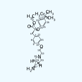 CCOC(=O)[C@H](Cc1ccc(OCCN2C[C@@H]3[C@@H](N)[C@@H]3C2)cc1)Oc1ccc(C(C)(C)C)cc1